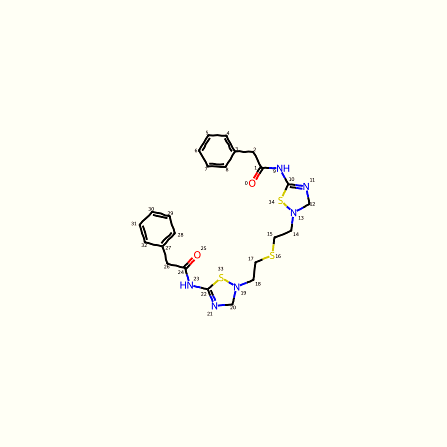 O=C(Cc1ccccc1)NC1=NCN(CCSCCN2CN=C(NC(=O)Cc3ccccc3)S2)S1